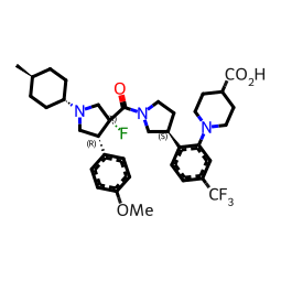 COc1ccc([C@@H]2CN([C@H]3CC[C@H](C)CC3)C[C@@]2(F)C(=O)N2CC[C@@H](c3ccc(C(F)(F)F)cc3N3CCC(C(=O)O)CC3)C2)cc1